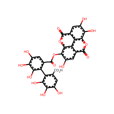 O=C(O)c1cc(O)c(O)c(O)c1-c1c(C(=O)Oc2c(O)cc3c(=O)oc4c(O)c(O)cc5c(=O)oc2c3c45)cc(O)c(O)c1O